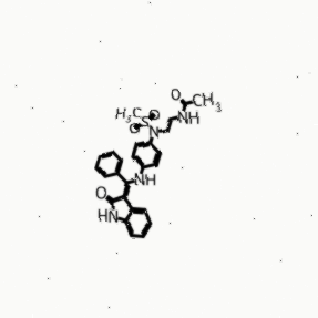 CC(=O)NCCN(c1ccc(NC(=C2C(=O)Nc3ccccc32)c2ccccc2)cc1)S(C)(=O)=O